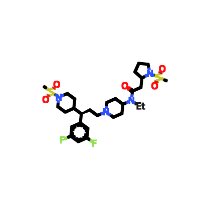 CCN(C(=O)CC1CCCN1S(C)(=O)=O)C1CCN(CC[C@@H](c2cc(F)cc(F)c2)C2CCN(S(C)(=O)=O)CC2)CC1